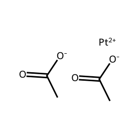 CC(=O)[O-].CC(=O)[O-].[Pt+2]